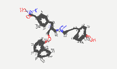 O=C(NO)c1ccc(/C=C(/CNCCc2ccc(O)cc2)COc2cccc3ccccc23)cc1